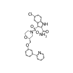 NC(=O)c1[nH]c2ccc(Cl)cc2c1S(=O)(=O)N1CCO[C@H](COc2cccc(-c3ccccn3)c2)C1